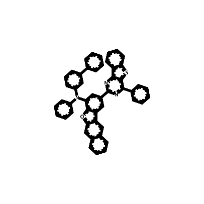 c1ccc(-c2cccc(N(c3ccccc3)c3cc(-c4nc(-c5ccccc5)c5sc6ccccc6c5n4)cc4c3oc3cc5ccccc5cc34)c2)cc1